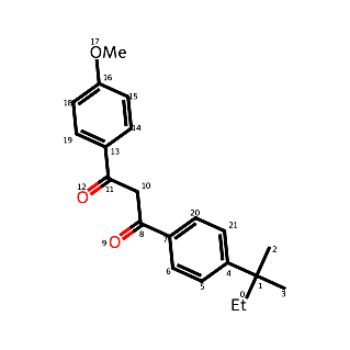 CCC(C)(C)c1ccc(C(=O)CC(=O)c2ccc(OC)cc2)cc1